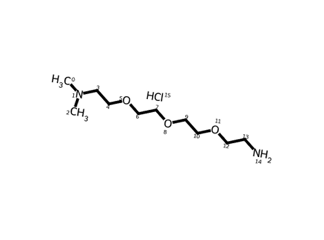 CN(C)CCOCCOCCOCCN.Cl